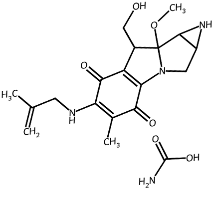 C=C(C)CNC1=C(C)C(=O)C2=C(C1=O)C(CO)C1(OC)C3NC3CN21.NC(=O)O